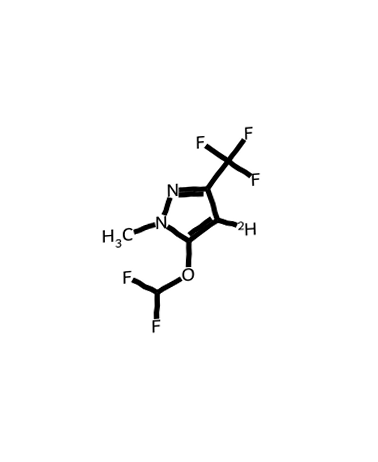 [2H]c1c(C(F)(F)F)nn(C)c1OC(F)F